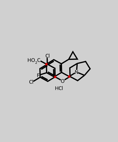 Cl.O=C(O)c1cc(C2CC2)c(CN2C3CCC2CC(Oc2cc(Cl)cc(Cl)c2)C3)cc1F